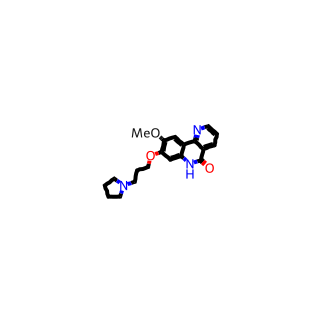 COc1cc2c(cc1OCCCN1CCCC1)[nH]c(=O)c1cccnc12